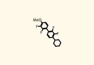 COc1ccc(-c2ccc(C3CCCCC3)c(F)c2F)c(F)c1F